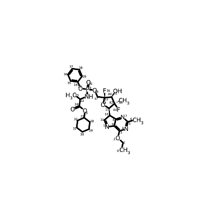 CCOc1nc(C)nc2c1N=CC2[C@H]1O[C@](F)(COP(=O)(NC(C)C(=O)OC2CCCCC2)Oc2ccccc2)[C@@H](O)[C@@]1(C)F